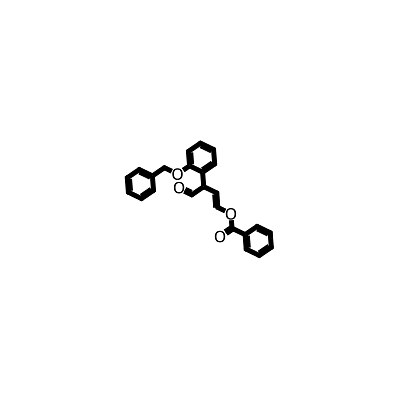 O=CC(C=COC(=O)c1ccccc1)c1ccccc1OCc1ccccc1